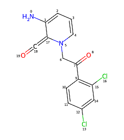 NC1=CC=CN(CC(=O)c2ccc(Cl)cc2Cl)C1=C=O